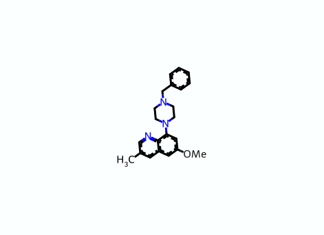 COc1cc(N2CCN(Cc3ccccc3)CC2)c2ncc(C)cc2c1